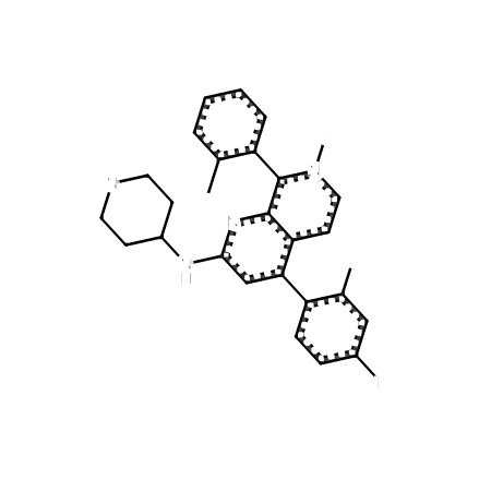 Cc1ccccc1-c1c2nc(NC3CCNCC3)cc(-c3ccc(F)cc3F)c2cc[n+]1[O-]